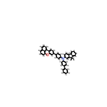 CC1(C)c2ccccc2-c2ccc(N(c3ccc(-c4ccccc4)cc3)c3ccc(-c4ccc5c(c4)Oc4cccc6cccc-5c46)cc3)cc21